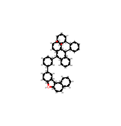 c1ccc(-c2ccccc2-c2c3ccccc3c(-c3cccc(-c4ccc5oc6ccc7ccccc7c6c5c4)c3)c3ccccc23)cc1